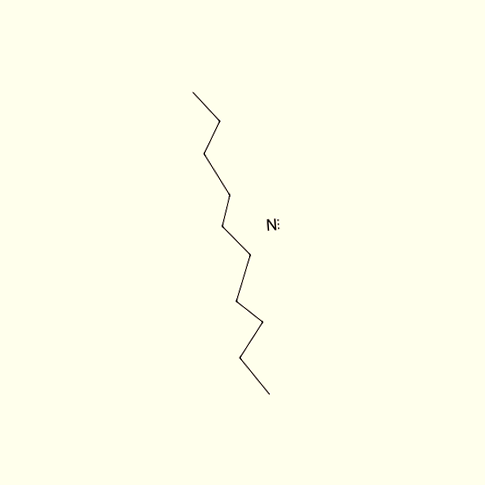 CCCCCCCCCC.[N]